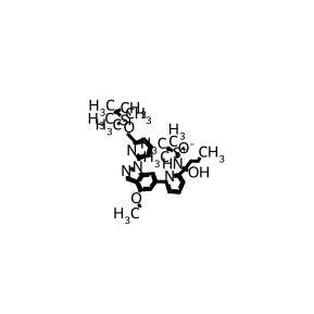 CCCC(O)(N[S@+]([O-])C(C)(C)C)c1cccc(-c2cc(OCC)c3cnn(-c4cccc(CO[Si](C)(C)C(C)(C)C)n4)c3c2)n1